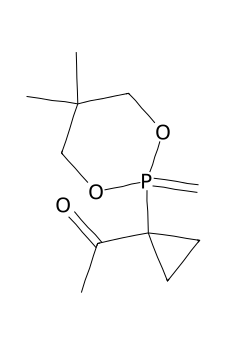 C=P1(C2(C(C)=O)CC2)OCC(C)(C)CO1